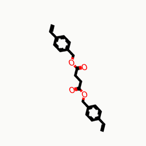 C=Cc1ccc(COC(=O)CCC(=O)OCc2ccc(C=C)cc2)cc1